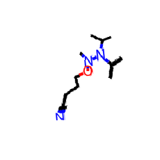 CC(C)N(C(C)C)N(C)OCCCC#N